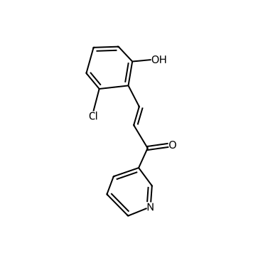 O=C(C=Cc1c(O)cccc1Cl)c1cccnc1